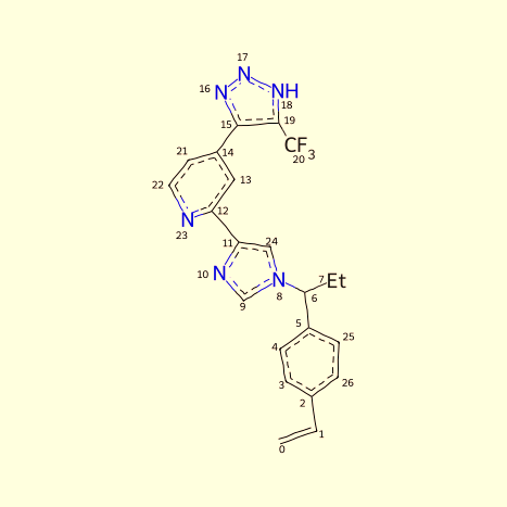 C=Cc1ccc(C(CC)n2cnc(-c3cc(-c4nn[nH]c4C(F)(F)F)ccn3)c2)cc1